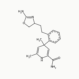 CC1=CC(C)(c2ccccc2CCC2COC(N)=N2)C=C(C(N)=O)N1